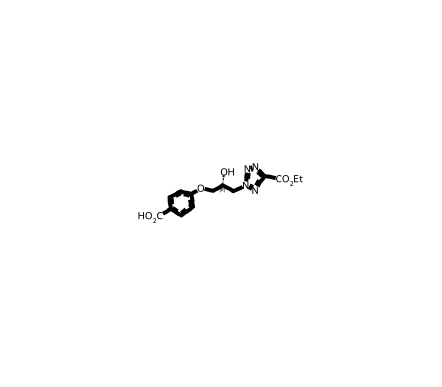 CCOC(=O)c1nnn(C[C@@H](O)COc2ccc(C(=O)O)cc2)n1